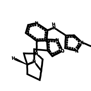 Cn1cc(Nc2nccc(N3CC4CC[C@H](C3)N4Cc3cnoc3)n2)cn1